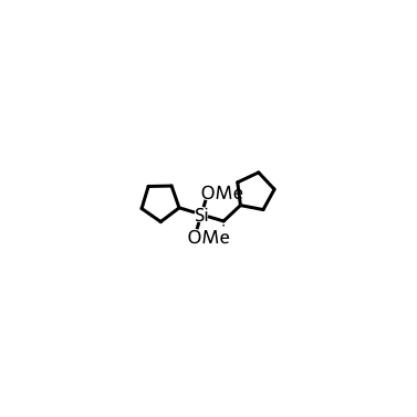 CO[Si]([CH]C1CCCC1)(OC)C1CCCC1